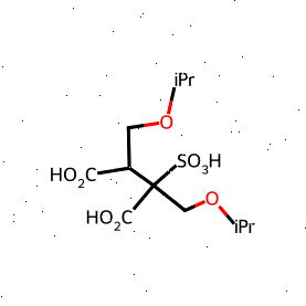 CC(C)OCC(C(=O)O)C(COC(C)C)(C(=O)O)S(=O)(=O)O